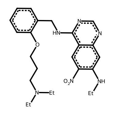 CCNc1cc2ncnc(NCc3ccccc3OCCCN(CC)CC)c2cc1[N+](=O)[O-]